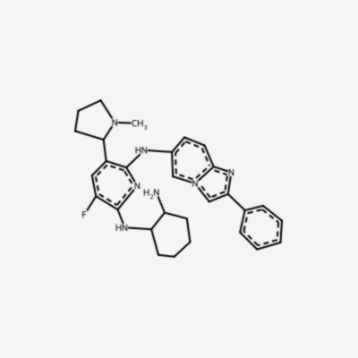 CN1CCCC1c1cc(F)c(NC2CCCCC2N)nc1Nc1ccc2nc(-c3ccccc3)cn2c1